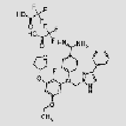 CCOc1cc(O[C@@H]2CCOC2)c(F)c(N(Cc2nc(-c3ccccc3)c[nH]2)c2ccc(C(=N)N)cc2)c1.O=C(O)C(F)(F)F.O=C(O)C(F)(F)F